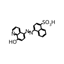 O=S(=O)(O)c1ccc(N=Nc2ccc(O)c3ncccc23)c2ccccc12